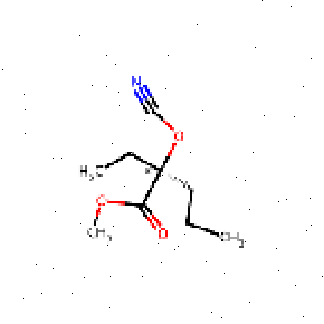 CCC[C@](CC)(OC#N)C(=O)OC